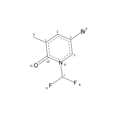 Cc1cc(Br)cn(C(F)F)c1=O